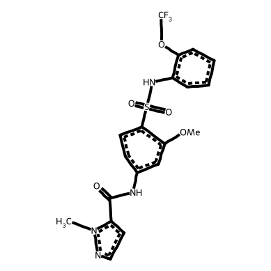 COc1cc(NC(=O)c2ccnn2C)ccc1S(=O)(=O)Nc1ccccc1OC(F)(F)F